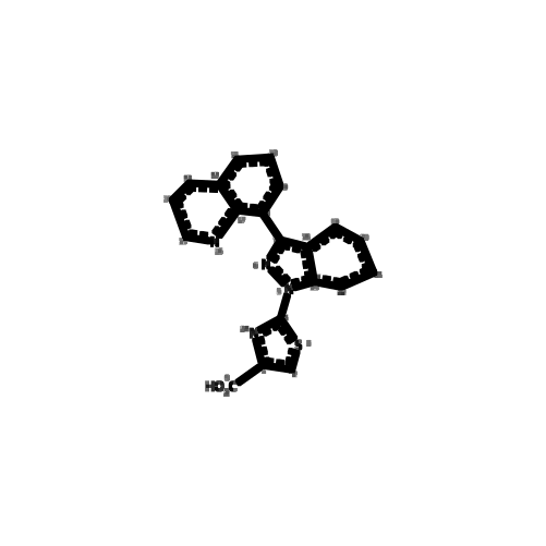 O=C(O)c1csc(-n2nc(-c3cccc4cccnc34)c3ccccc32)n1